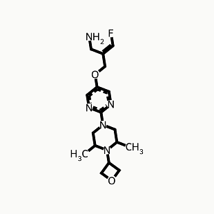 CC1CN(c2ncc(OC/C(=C/F)CN)cn2)CC(C)N1C1COC1